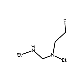 CCNCN(CC)CCF